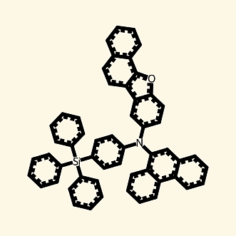 c1ccc([Si](c2ccccc2)(c2ccccc2)c2ccc(N(c3ccc4oc5c6ccccc6ccc5c4c3)c3cc4ccccc4c4ccccc34)cc2)cc1